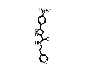 O=C(NCCc1ccncc1)C1=NOC(c2ccc([N+](=O)[O-])cc2)C1